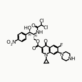 O=C(OC[C@@H](NC(=O)C(Cl)Cl)[C@H](O)c1ccc([N+](=O)[O-])cc1)c1cn(C2CC2)c2cc(N3CCNCC3)c(F)cc2c1=O